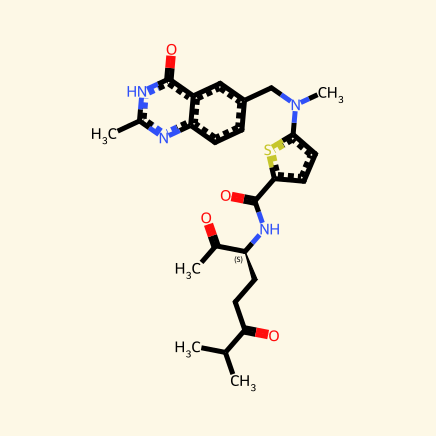 CC(=O)[C@H](CCC(=O)C(C)C)NC(=O)c1ccc(N(C)Cc2ccc3nc(C)[nH]c(=O)c3c2)s1